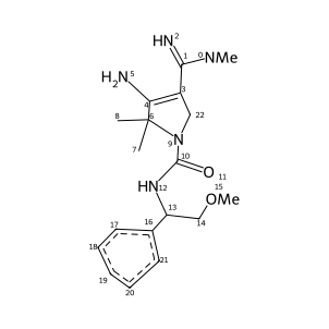 CNC(=N)C1=C(N)C(C)(C)N(C(=O)NC(COC)c2ccccc2)C1